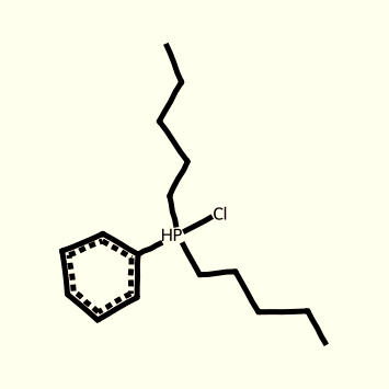 CCCCC[PH](Cl)(CCCCC)c1ccccc1